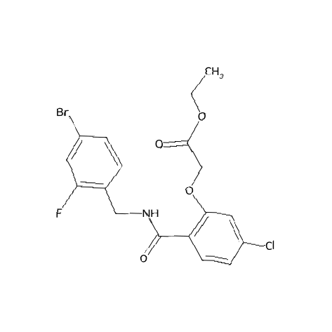 CCOC(=O)COc1cc(Cl)ccc1C(=O)NCc1ccc(Br)cc1F